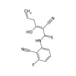 C=CCC(O)=C(C#N)C(=S)Nc1cccc(F)c1C#N